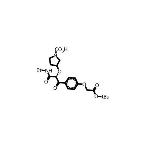 CCNC(=O)[C@@H](OC1CCN(C(=O)O)C1)C(=O)c1ccc(OCC(=O)OC(C)(C)C)cc1